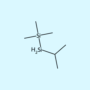 CC(C)[SiH2][Si](C)(C)C